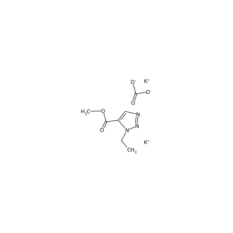 CCn1nncc1C(=O)OC.O=C([O-])[O-].[K+].[K+]